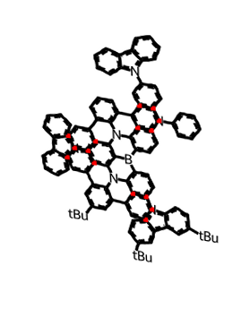 CC(C)(C)c1cc(-c2ccccc2)c(N2c3cc(-n4c5ccc(C(C)(C)C)cc5c5cc(C(C)(C)C)ccc54)ccc3B3c4ccc(N(c5ccccc5)c5ccc(-n6c7ccccc7c7ccccc76)cc5)cc4N(c4c(-c5ccccc5)cccc4-c4ccccc4)c4cc(-n5c6ccccc6c6ccccc65)cc2c43)c(-c2ccccc2)c1